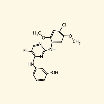 COc1cc(Nc2ncc(F)c(Nc3cccc(O)c3)n2)c(OC)cc1Cl